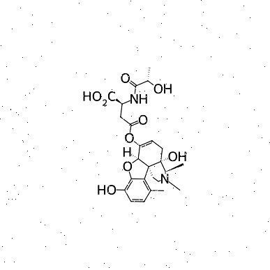 Cc1ccc(O)c2c1[C@]13CCN(C)[C@H](C)[C@]1(O)CC=C(OC(=O)C[C@H](NC(=O)[C@H](C)O)C(=O)O)[C@@H]3O2